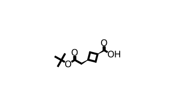 CC(C)(C)OC(=O)C[C@H]1C[C@@H](C(=O)O)C1